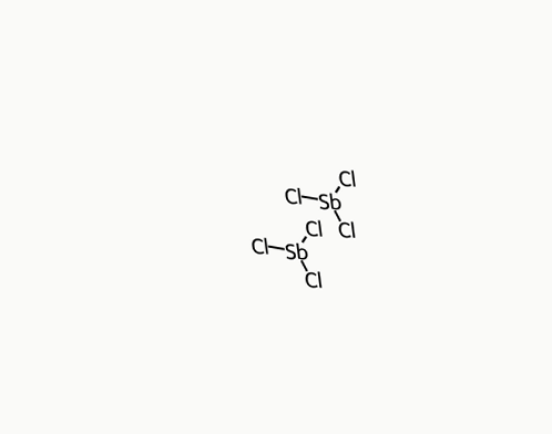 [Cl][Sb]([Cl])[Cl].[Cl][Sb]([Cl])[Cl]